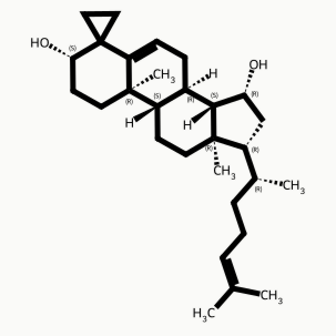 CC(C)=CCC[C@@H](C)[C@H]1C[C@@H](O)[C@H]2[C@@H]3CC=C4C5(CC5)[C@@H](O)CC[C@]4(C)[C@H]3CC[C@@]21C